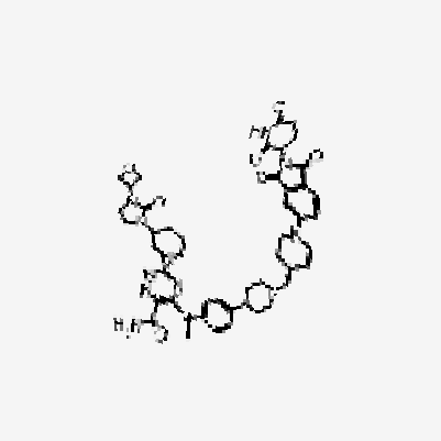 NC(=O)c1nnc(N2CCCC(N3CCN(C4COC4)C3=O)C2)nc1Nc1ccc(C2CCN(CC3CCN(c4ccc5c(c4)C(=O)N(C4CCC(=O)NC4=O)C5=O)CC3)CC2)cc1